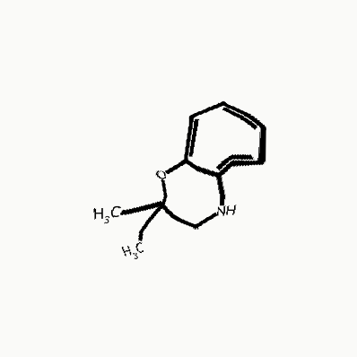 CC1(C)[C]Nc2ccccc2O1